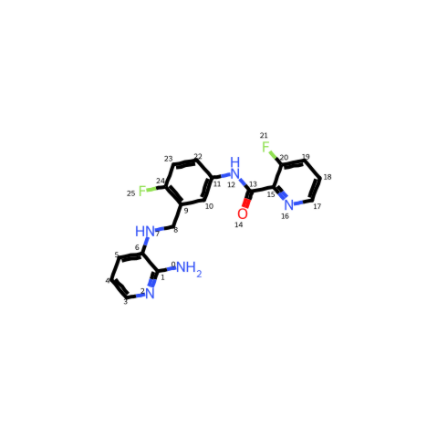 Nc1ncccc1NCc1cc(NC(=O)c2ncccc2F)ccc1F